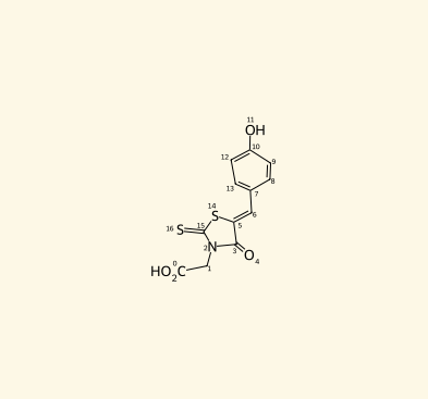 O=C(O)CN1C(=O)C(=Cc2ccc(O)cc2)SC1=S